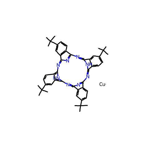 CC(C)(C)c1ccc2c(c1)-c1nc-2nc2[nH]c(nc3nc(nc4[nH]c(n1)c1ccc(C(C)(C)C)cc41)-c1cc(C(C)(C)C)ccc1-3)c1ccc(C(C)(C)C)cc21.[Cu]